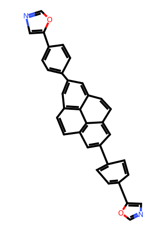 c1ncc(-c2ccc(-c3cc4ccc5cc(-c6ccc(-c7cnco7)cc6)cc6ccc(c3)c4c56)cc2)o1